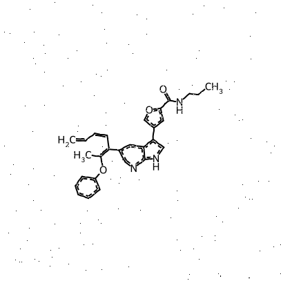 C=C/C=C\C(=C(/C)Oc1ccccc1)c1cnc2[nH]cc(-c3coc(C(=O)NCCC)c3)c2c1